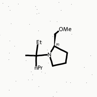 CCCC(C)(CC)N1CCC[C@@H]1COC